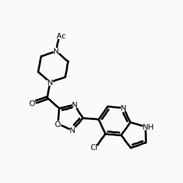 CC(=O)N1CCN(C(=O)c2nc(-c3cnc4[nH]ccc4c3Cl)no2)CC1